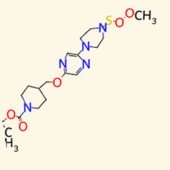 COOSN1CCN(c2cnc(OCC3CCN(C(=O)OC4(C)CC4)CC3)cn2)CC1